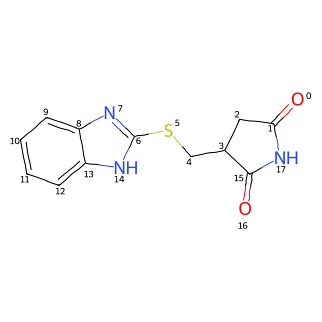 O=C1CC(CSc2nc3ccccc3[nH]2)C(=O)N1